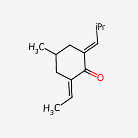 C/C=C1\CC(C)C/C(=C\C(C)C)C1=O